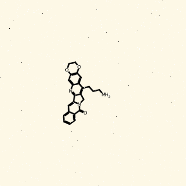 NCCCc1c2c(nc3cc4c(cc13)OCCO4)-c1cc3ccccc3c(=O)n1C2